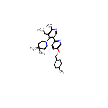 Cc1ncc(-c2ccc(OCC3CCC(C)CC3)cn2)c(N2CCC(C)(C)CC2)c1CC(=O)O